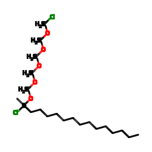 CCCCCCCCCCCCCC[Si](C)(Cl)O[SiH2]O[SiH2]O[SiH2]O[SiH2]O[SiH2]Cl